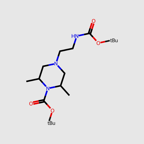 CC1CN(CCNC(=O)OC(C)(C)C)CC(C)N1C(=O)OC(C)(C)C